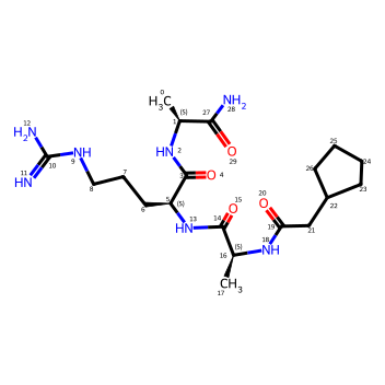 C[C@H](NC(=O)[C@H](CCCNC(=N)N)NC(=O)[C@H](C)NC(=O)CC1CCCC1)C(N)=O